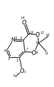 COc1ccnc2c1OC(C)(C)OC2=O